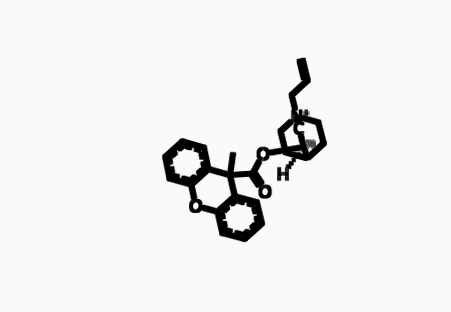 C=CC[N+]12CCC(CC1)[C@@H](OC(=O)C1(C)c3ccccc3Oc3ccccc31)C2